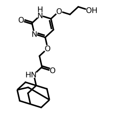 O=C(COc1cc(OCCO)[nH]c(=O)n1)NC12CC3CC(CC(C3)C1)C2